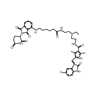 CCN(CCNC(=O)CCCCCNc1cccc2c1C(=O)N(C1CCC(=O)NC1=O)C2=O)CCNC(=O)c1c(C)[nH]c(/C=C2\C(=O)Nc3ccc(F)cc32)c1C